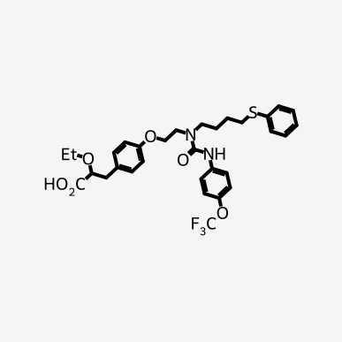 CCOC(Cc1ccc(OCCN(CCCCSc2ccccc2)C(=O)Nc2ccc(OC(F)(F)F)cc2)cc1)C(=O)O